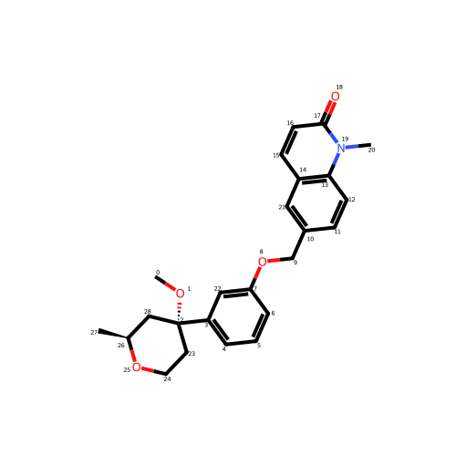 CO[C@]1(c2cccc(OCc3ccc4c(ccc(=O)n4C)c3)c2)CCO[C@@H](C)C1